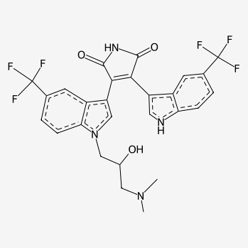 CN(C)CC(O)Cn1cc(C2=C(c3c[nH]c4ccc(C(F)(F)F)cc34)C(=O)NC2=O)c2cc(C(F)(F)F)ccc21